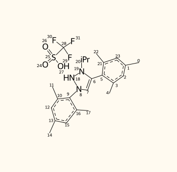 Cc1cc(C)c(C2=CN(c3c(C)cc(C)cc3C)NN2C(C)C)c(C)c1.O=S(=O)(O)C(F)(F)F